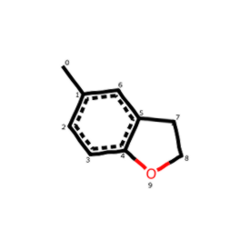 Cc1ccc2c(c1)[C]CO2